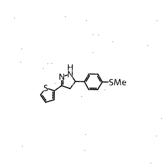 CSc1ccc(C2CC(c3cccs3)=NN2)cc1